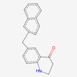 O=C1CCNc2ccc(Cc3ccc4ccccc4c3)cc21